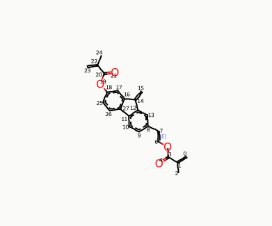 C=C(C)C(=O)O/C=C/c1ccc2c(c1)C(=C)c1cc(OC(=O)C(=C)C)ccc1-2